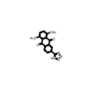 CC(=O)Oc1ccc(OC(C)=O)c2c1C(=O)c1ccc(-c3nnn[nH]3)cc1C2=O